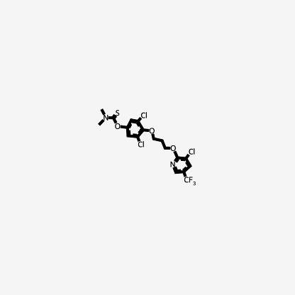 CN(C)C(=S)Oc1cc(Cl)c(OCCCOc2ncc(C(F)(F)F)cc2Cl)c(Cl)c1